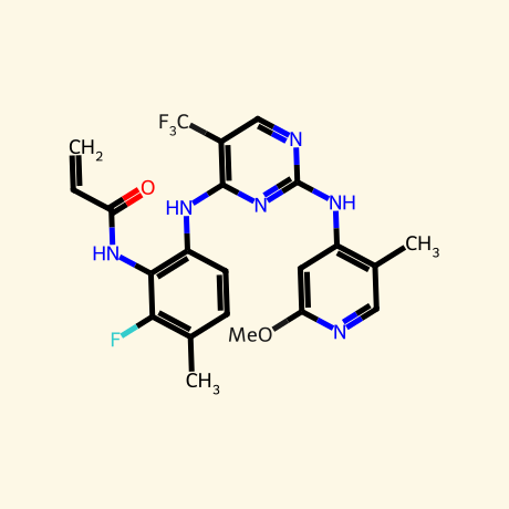 C=CC(=O)Nc1c(Nc2nc(Nc3cc(OC)ncc3C)ncc2C(F)(F)F)ccc(C)c1F